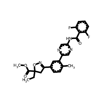 CCC1(C(=O)OC)CC(c2ccc(C)c(-c3cnc(NC(=O)c4c(F)cccc4F)cn3)c2)=NO1